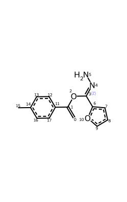 C=C(O/C(=N\N)c1ccco1)c1ccc(C)cc1